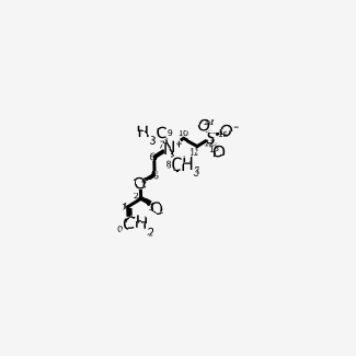 C=CC(=O)OCC[N+](C)(C)CCS(=O)(=O)[O-]